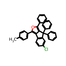 Cc1ccc(-c2oc(-c3ccccc3)c3c2-c2ccc(Cl)cc2C3(c2ccccc2)c2ccccc2)cc1